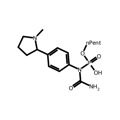 CCCCCOP(=O)(O)N(C(N)=O)c1ccc(C2CCCN2C)cc1